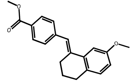 COC(=O)c1ccc(C=C2CCCc3ccc(OC)cc32)cc1